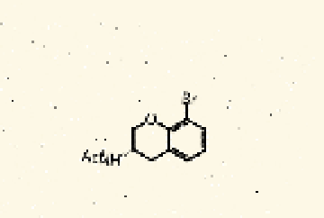 CC(=O)N[C@@H]1COc2c(Br)cccc2C1